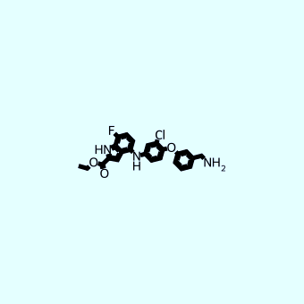 CCOC(=O)c1cc2c(Nc3ccc(Oc4cccc(CN)c4)c(Cl)c3)ccc(F)c2[nH]1